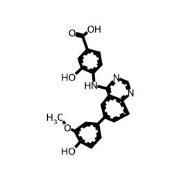 COc1cc(-c2ccc3ncnc(Nc4ccc(C(=O)O)cc4O)c3c2)ccc1O